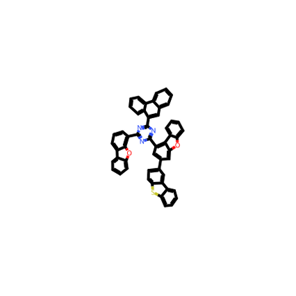 c1ccc2c(c1)cc(-c1nc(-c3cccc4c3oc3ccccc34)nc(-c3cc(-c4ccc5sc6ccccc6c5c4)cc4oc5ccccc5c34)n1)c1ccccc12